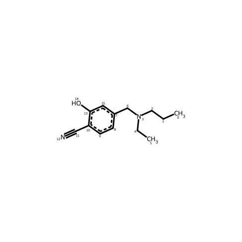 CCCN(CC)Cc1ccc(C#N)c(O)c1